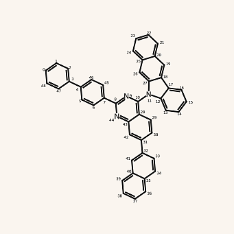 c1ccc(-c2ccc(-c3nc(-n4c5ccccc5c5cc6ccccc6cc54)c4ccc(-c5ccc6ccccc6c5)cc4n3)cc2)cc1